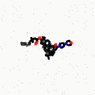 C=C(C)[C@@H]1CC[C@]2(CC(=O)N3CCC(N4CCOCC4)CC3)CC[C@]3(C)[C@H](CC[C@@H]4[C@@]5(C)CC[C@H](OC(=O)CC(C)(C)CC(=O)O)C(C)(C)C5CC[C@]43C)[C@@H]12